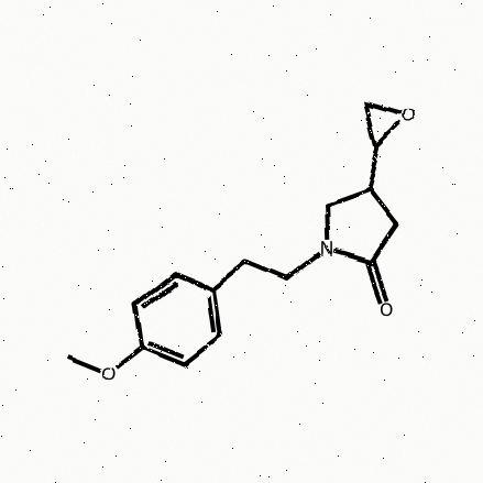 COc1ccc(CCN2CC(C3CO3)CC2=O)cc1